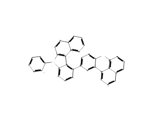 c1ccc(-n2c3cccc(-c4ccc5c(c4)-c4cccc6cccc(c46)S5)c3c3c4ccccc4ccc32)cc1